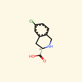 O=C(O)[C@@H]1Cc2cc(Cl)ccc2CN1